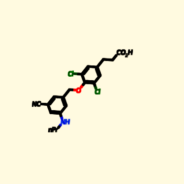 CCCNc1cc(C#N)cc(COc2c(Cl)cc(CCC(=O)O)cc2Cl)c1